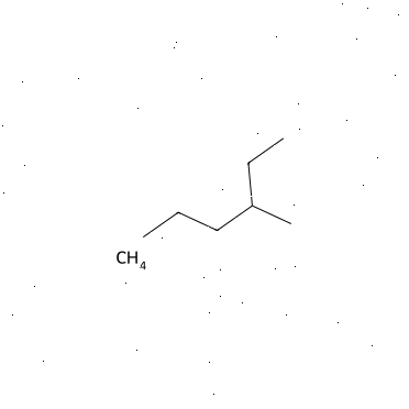 C.CCCC(C)CC